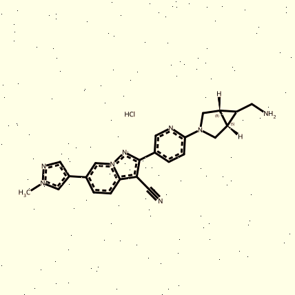 Cl.Cn1cc(-c2ccc3c(C#N)c(-c4ccc(N5C[C@@H]6C(CN)[C@@H]6C5)nc4)nn3c2)cn1